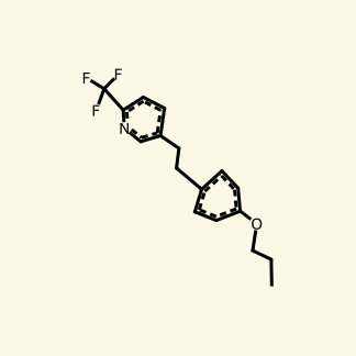 CCCOc1ccc(CCc2ccc(C(F)(F)F)nc2)cc1